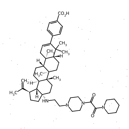 C=C(C)[C@@H]1CC[C@]2(NCCN3CCN(C(=O)C(=O)N4CCCCC4)CC3)CC[C@]3(C)[C@H](CC[C@@H]4[C@@]5(C)CC=C(c6ccc(C(=O)O)cc6)C(C)(C)[C@@H]5CC[C@]43C)[C@@H]12